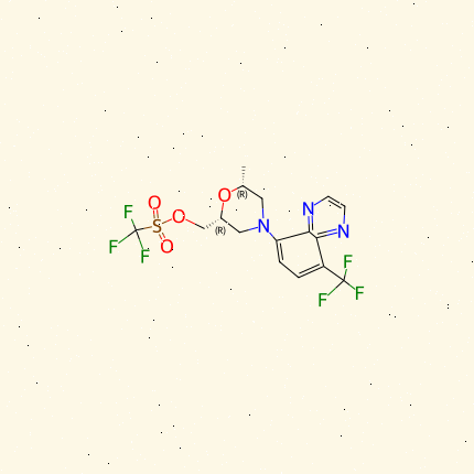 C[C@@H]1CN(c2ccc(C(F)(F)F)c3nccnc23)C[C@H](COS(=O)(=O)C(F)(F)F)O1